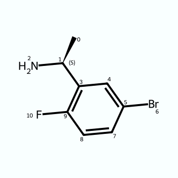 C[C@H](N)c1cc(Br)ccc1F